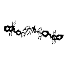 CC(C)(CNC(=O)NC1CCC(CCN2[C@@H]3CC[C@H]2c2ccccc23)CC1)CNC(=O)NC1CCC(CCN2[C@@H]3CC[C@H]2c2ccccc23)CC1